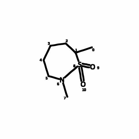 CC1CCCCN(C)S1(=O)=O